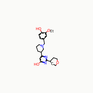 CCOc1cc(CN2CCCC(c3cc(O)nc(C4CCOCC4)n3)C2)ccc1O